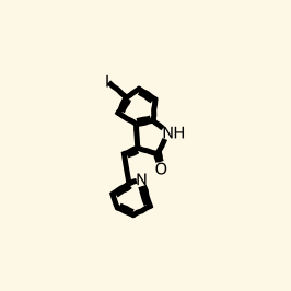 O=C1Nc2ccc(I)cc2C1=Cc1ccccn1